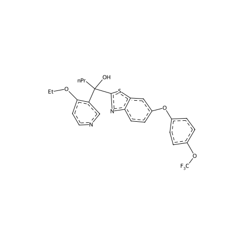 CCCC(O)(c1nc2ccc(Oc3ccc(OC(F)(F)F)cc3)cc2s1)c1cnccc1OCC